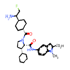 Cn1c(C(=O)O)cc2cc(NC(=O)[C@@H]3[C@H](C4CCCCC4)CCN3C(=O)[C@H]3CC[C@H](C(N)CF)CC3)ccc21